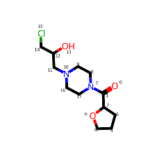 O=C(C1CCCO1)N1CCN(CC(O)CCl)CC1